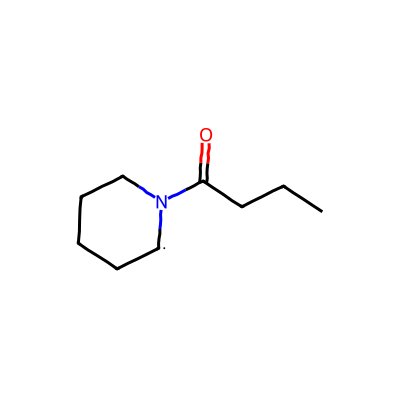 CCCC(=O)N1[CH]CCCC1